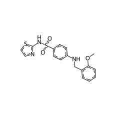 COc1ccccc1CNc1ccc(S(=O)(=O)Nc2nccs2)cc1